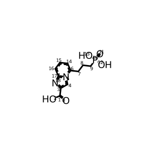 O=C(O)c1cn2c(CCCP(=O)(O)O)cccc2n1